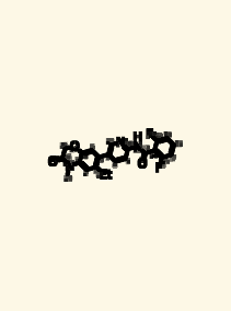 CCc1cc2c(cc1-c1ccc(NC(=O)c3c(F)cccc3F)nc1)OCC(=O)N2C